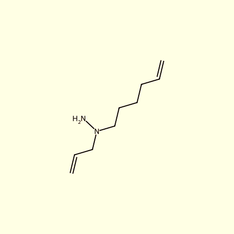 C=CCCCCN(N)CC=C